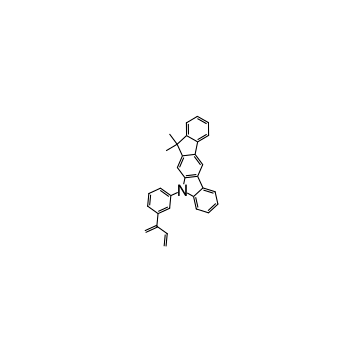 C=CC(=C)c1cccc(-n2c3ccccc3c3cc4c(cc32)C(C)(C)c2ccccc2-4)c1